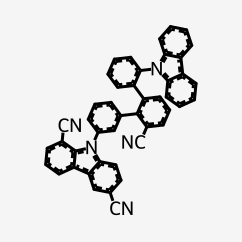 N#Cc1ccc2c(c1)c1cccc(C#N)c1n2-c1cccc(-c2c(C#N)cccc2-c2ccccc2-n2c3ccccc3c3ccccc32)c1